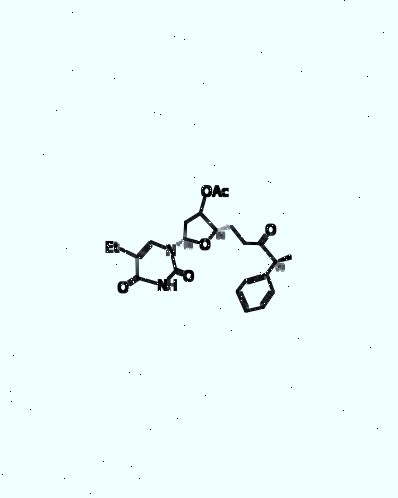 CCc1cn([C@@H]2CC(OC(C)=O)[C@H](CCC(=O)[C@@H](C)c3ccccc3)O2)c(=O)[nH]c1=O